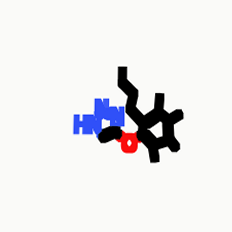 CCCCc1c(C)c(C)c(C)c(C)c1Oc1c[nH]nn1